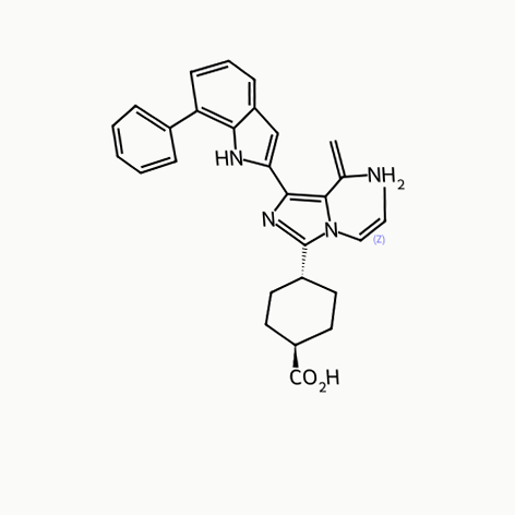 C=C(N)c1c(-c2cc3cccc(-c4ccccc4)c3[nH]2)nc([C@H]2CC[C@H](C(=O)O)CC2)n1/C=C\C